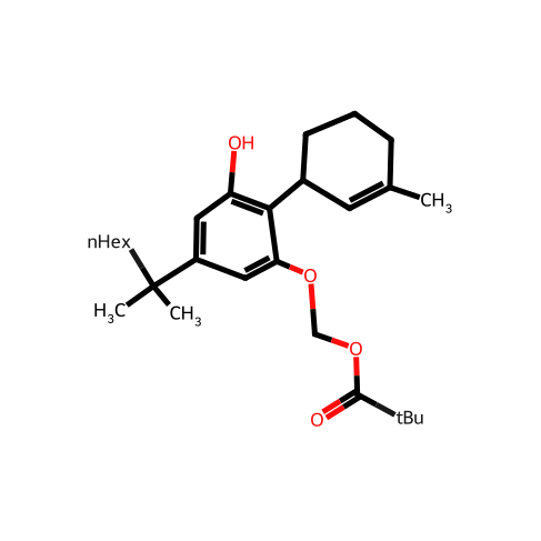 CCCCCCC(C)(C)c1cc(O)c(C2C=C(C)CCC2)c(OCOC(=O)C(C)(C)C)c1